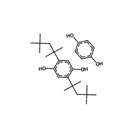 CC(C)(C)CC(C)(C)c1cc(O)c(C(C)(C)CC(C)(C)C)cc1O.Oc1ccc(O)cc1